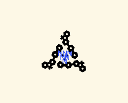 CC1(C)c2ccccc2-c2cc(-c3ccc4c5ccccc5n(-c5nc(-n6c7ccccc7c7ccc(-c8ccc9c(c8)-c8ccccc8C9(C)C)cc76)nc(-n6c7ccccc7c7ccc(-c8ccc9c(c8)-c8ccccc8C9(C)C)cc76)n5)c4c3)ccc21